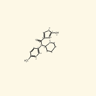 Cc1ccc(N(C(=O)c2csc(O)n2)C2CCCCO2)cn1